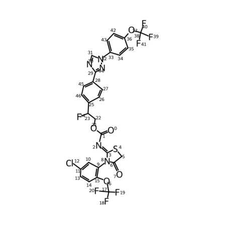 O=C(/N=C1\SCC(=O)N1c1cc(Cl)ccc1OC(F)(F)F)OCC(F)c1ccc(-c2ncn(-c3ccc(OC(F)(F)F)cc3)n2)cc1